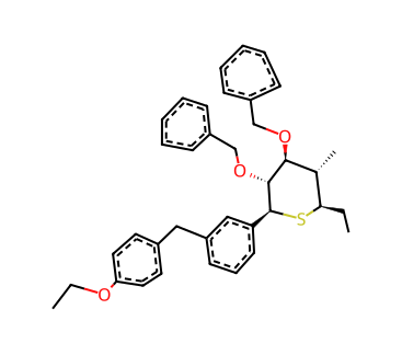 CCOc1ccc(Cc2cccc([C@@H]3S[C@H](CC)[C@@H](C)[C@H](OCc4ccccc4)[C@H]3OCc3ccccc3)c2)cc1